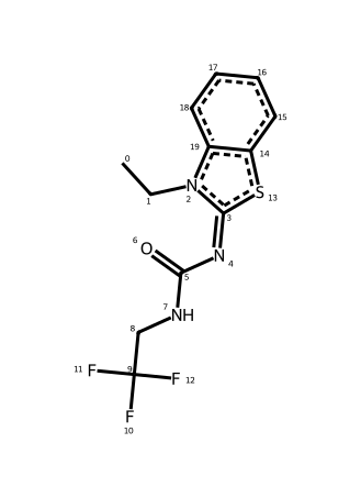 CCn1c(=NC(=O)NCC(F)(F)F)sc2ccccc21